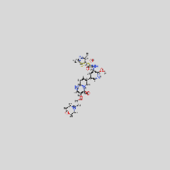 COc1ncc(-c2ccc3ncc(OCCN4CCOCC4)c(=O)n3c2)cc1NS(=O)(=O)c1sc(C)nc1C